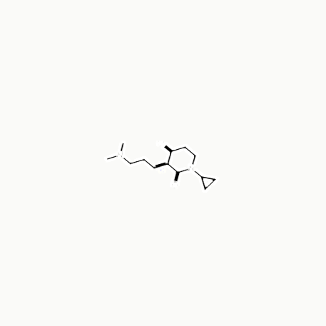 CN(C)CC/C=C1\C(=O)CCN(C2CC2)C1=O